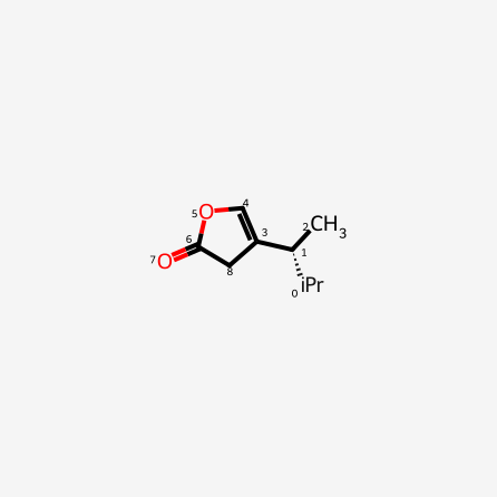 CC(C)[C@@H](C)C1=COC(=O)C1